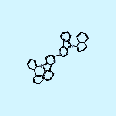 C1=CCC(C2=CCCC=C2)C(n2c3ccccc3c3cc(-c4ccc5c(c4)c4ccccc4n5C4=CC=CC5C=CC=CC45)ccc32)=C1